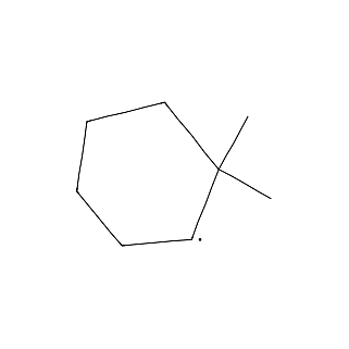 CC1(C)[CH]CCCC1